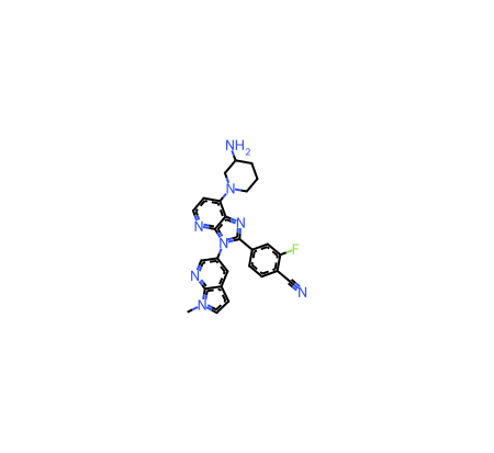 Cn1ccc2cc(-n3c(-c4ccc(C#N)c(F)c4)nc4c(N5CCCC(N)C5)ccnc43)cnc21